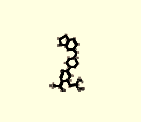 CC/C(C)=C1/C=NC(N2CCN(Cc3ccc4c(c3)OCC4)CC2)=CN1/C=C(\C)C=O